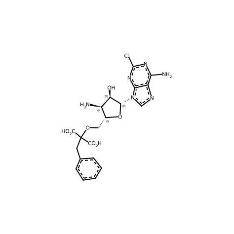 Nc1nc(Cl)nc2c1ncn2[C@@H]1O[C@H](COC(Cc2ccccc2)(C(=O)O)C(=O)O)[C@@H](N)[C@H]1O